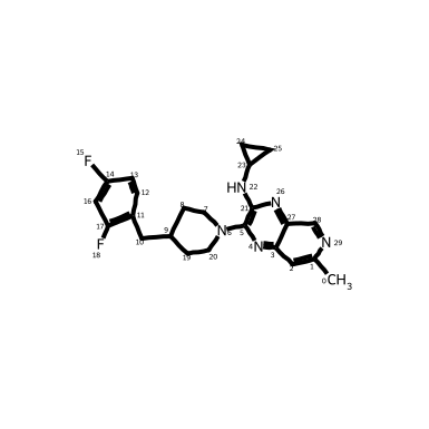 Cc1cc2nc(N3CCC(Cc4ccc(F)cc4F)CC3)c(NC3CC3)nc2cn1